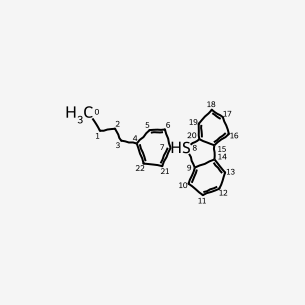 CCCCc1ccc([SH]2c3ccccc3-c3ccccc32)cc1